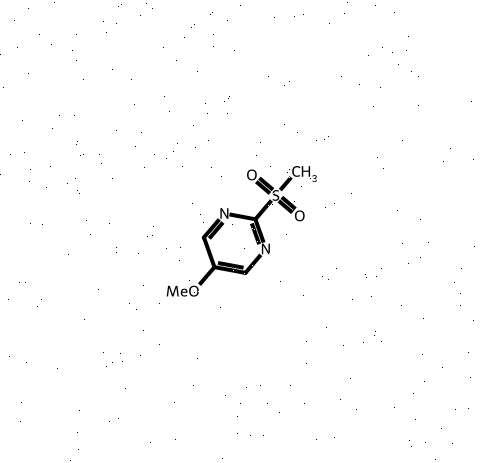 COc1cnc(S(C)(=O)=O)nc1